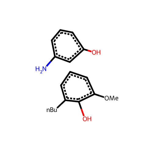 CCCCc1cccc(OC)c1O.Nc1cccc(O)c1